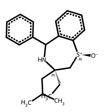 CC[C@@]1(CC(C)C)C[S@+]([O-])c2ccccc2C(c2ccccc2)N1